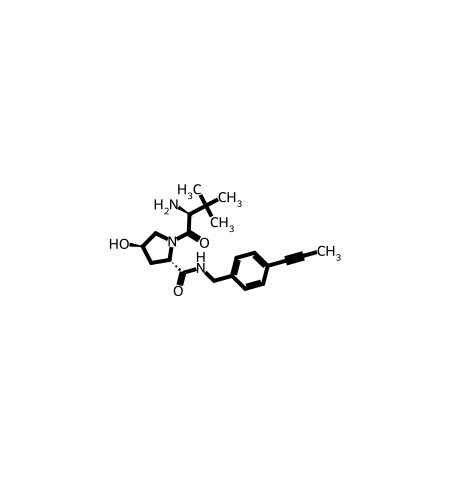 CC#Cc1ccc(CNC(=O)[C@@H]2C[C@@H](O)CN2C(=O)[C@@H](N)C(C)(C)C)cc1